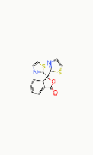 O=C1OC(c2nccs2)(c2nccs2)c2ccccc21